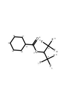 O=C(OC(C(F)(F)F)C(F)(F)F)C1CCCCC1